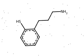 NCCCc1ccccc1S